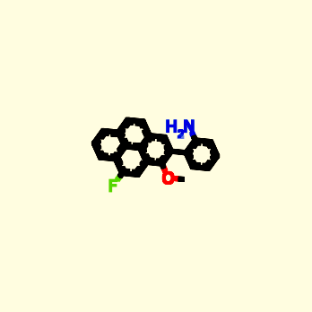 COc1c(-c2ccccc2N)cc2ccc3cccc4c(F)cc1c2c34